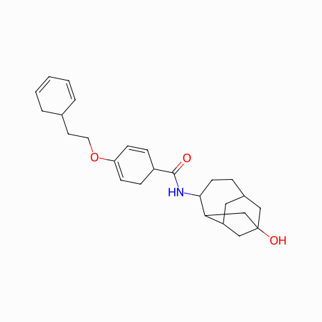 O=C(NC1CCC2CC3CC(O)(C2)CC31)C1C=CC(OCCC2C=CC=CC2)=CC1